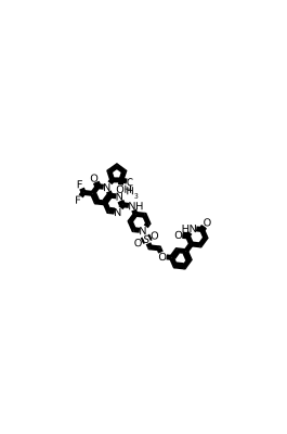 CC1(O)CCCC1n1c(=O)c(C(F)F)cc2cnc(NC3CCN(S(=O)(=O)CCOc4cccc(C5CCC(=O)NC5=O)c4)CC3)nc21